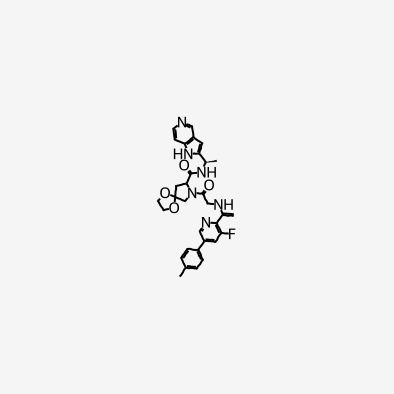 C=C(NCC(=O)N1CC2(CC1C(=O)N[C@H](C)c1cc3cnccc3[nH]1)OCCO2)c1ncc(-c2ccc(C)cc2)cc1F